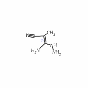 C/C(C#N)=C(/N)NN